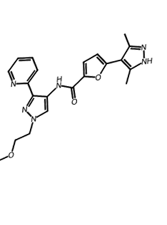 CCOCCn1cc(NC(=O)c2ccc(-c3c(C)n[nH]c3C)o2)c(-c2ccccn2)n1